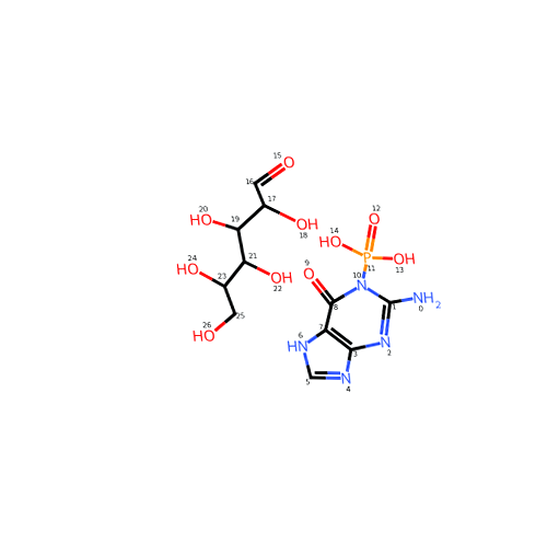 Nc1nc2nc[nH]c2c(=O)n1P(=O)(O)O.O=CC(O)C(O)C(O)C(O)CO